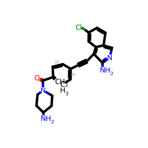 C=C(/C=C\C(C#Cc1c(N)ncc2ccc(Cl)cc12)=C/C)C(=O)N1CCC(N)CC1